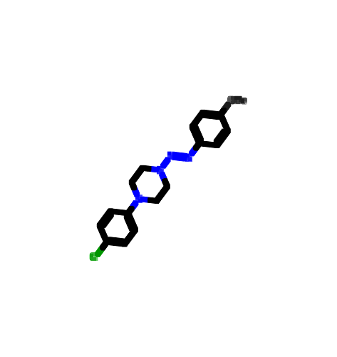 COc1ccc(N=NN2CCN(c3ccc(Cl)cc3)CC2)cc1